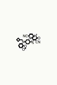 CN(c1c(C#N)c(=O)n(C)c2ccc(C#N)nc12)C1CCC(N(CC2CCC2)c2cccc3c2OCO3)CC1